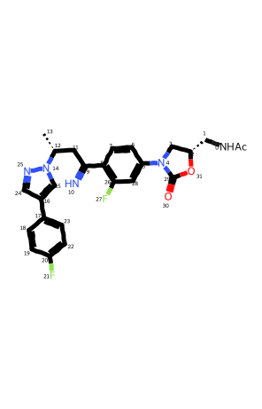 CC(=O)NC[C@H]1CN(c2ccc(C(=N)C[C@@H](C)n3cc(-c4ccc(F)cc4)cn3)c(F)c2)C(=O)O1